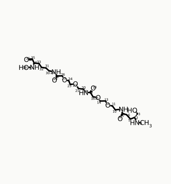 CN[C@H](CO)CCC(=O)NCCOCCOCC(=O)NCCOCCOCC(=O)NCCCCC(C=O)NO